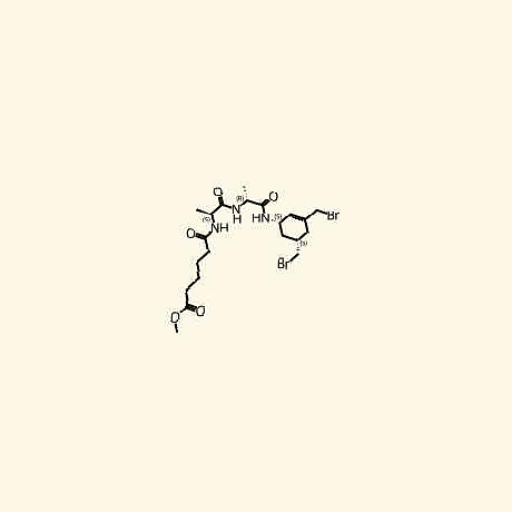 COC(=O)CCCCC(=O)N[C@@H](C)C(=O)N[C@H](C)C(=O)N[C@@H]1C=C(CBr)C[C@H](CBr)C1